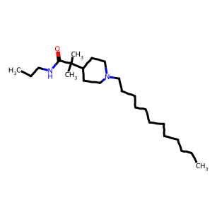 CCCCCCCCCCCCN1CCC(C(C)(C)C(=O)NCCC)CC1